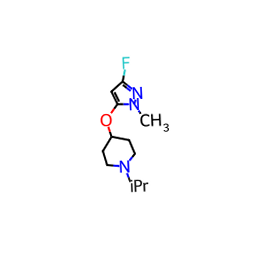 CC(C)N1CCC(Oc2cc(F)nn2C)CC1